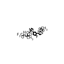 CC1(CNC(=O)C(F)(F)F)COC(c2nccn2-c2ccc(F)c(-c3ccnc(S(C)(=O)=O)n3)c2)OC1